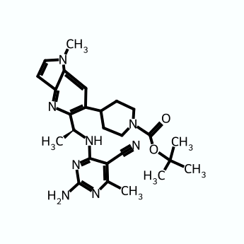 Cc1nc(N)nc(N[C@@H](C)c2nc3ccn(C)c3cc2C2CCN(C(=O)OC(C)(C)C)CC2)c1C#N